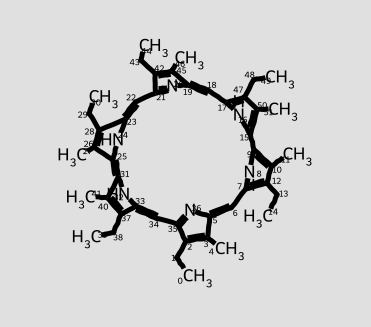 CCC1=C(C)c2cc3[nH]c(c(C)c3CC)c3[nH]c(cc4nc(cc5[nH]c(c(C)c5CC)c5[nH]c(cc1n2)c(CC)c5C)C(CC)=C4C)c(CC)c3C